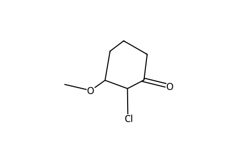 COC1CCCC(=O)C1Cl